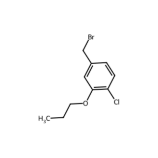 CCCOc1cc(CBr)ccc1Cl